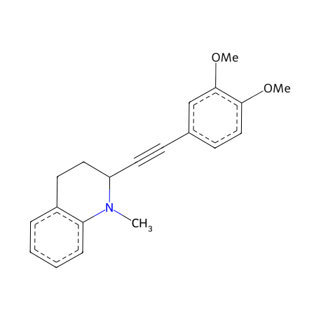 COc1ccc(C#CC2CCc3ccccc3N2C)cc1OC